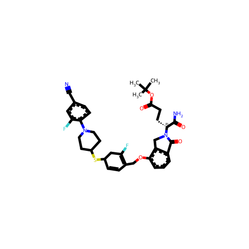 CC(C)(C)OC(=O)CC[C@H](C(N)=O)N1Cc2c(OCC3=C(F)CC(SC4CCN(c5ccc(C#N)cc5F)CC4)C=C3)cccc2C1=O